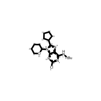 CC(C)(C)Nc1nc(Cl)nc2c1nc(C1CCCC1)n2C1CCCCO1